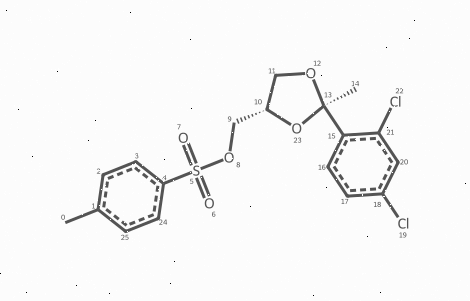 Cc1ccc(S(=O)(=O)OC[C@@H]2CO[C@@](C)(c3ccc(Cl)cc3Cl)O2)cc1